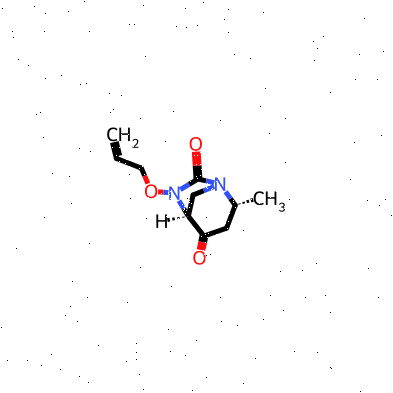 C=CCON1C(=O)N2C[C@H]1C(=O)C[C@H]2C